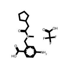 CN(Cc1cc(N)ccc1C(=O)O)C(=O)CC1CCCC1.O=C(O)C(F)(F)F